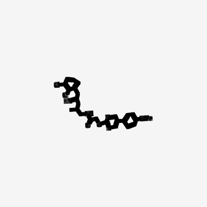 COc1ccc(-c2cnc(OCC(=O)NCC(C)CC(=N)Cc3cccc(Cl)c3Cl)nc2)cc1